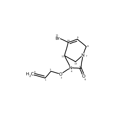 C=CCON1C(=O)N2CC=C(Br)C1C2